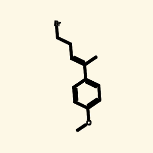 COc1ccc(C(C)=CCCBr)cc1